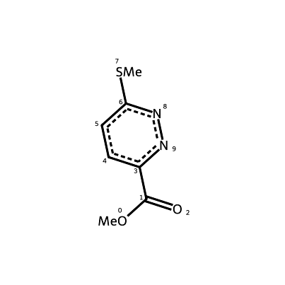 COC(=O)c1ccc(SC)nn1